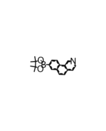 CC1(C)OB(c2ccc3c(ccc4ccncc43)c2)OC1(C)C